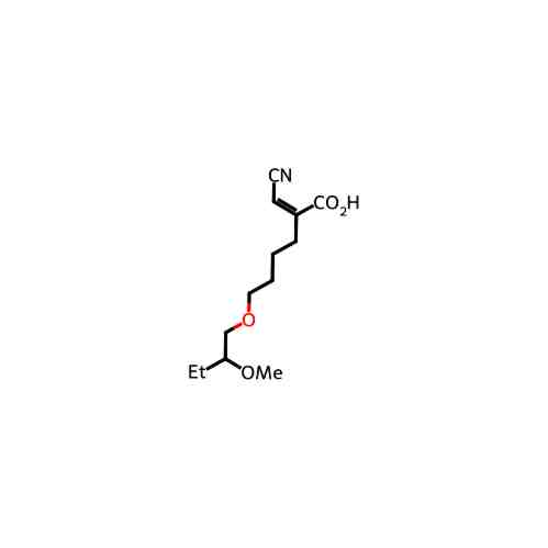 CCC(COCCCCC(=CC#N)C(=O)O)OC